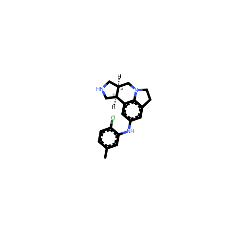 Cc1ccc(Cl)c(Nc2cc3c4c(c2)[C@H]2CNC[C@H]2CN4CC3)c1